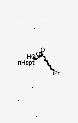 CCCCCCC[C@@H](O)C[C@@H]1OC(=O)[C@H]1CCCCCCCC(C)C